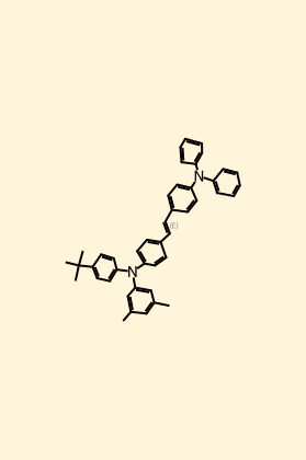 Cc1cc(C)cc(N(c2ccc(/C=C/c3ccc(N(c4ccccc4)c4ccccc4)cc3)cc2)c2ccc(C(C)(C)C)cc2)c1